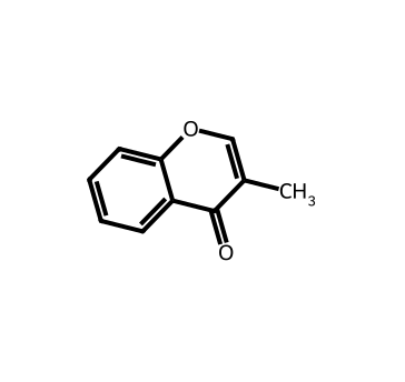 Cc1coc2ccccc2c1=O